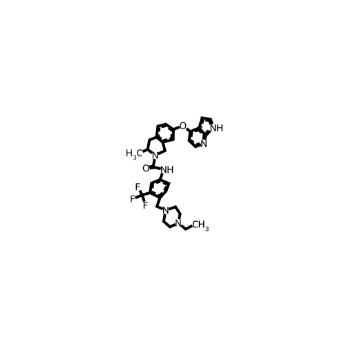 CCN1CCN(Cc2ccc(NC(=O)N3Cc4cc(Oc5ccnc6[nH]ccc56)ccc4CC3C)cc2C(F)(F)F)CC1